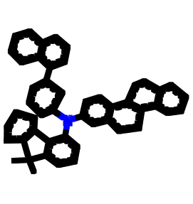 CC1(C)c2ccccc2-c2c(N(c3cccc(-c4cccc5ccccc45)c3)c3ccc4c(ccc5c6ccccc6ccc45)c3)cccc21